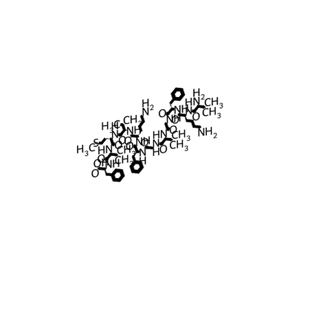 CSCC[C@H](NC(=O)[C@@H](NC(=O)[C@H](CCCCN)NC(=O)[C@H](Cc1ccccc1)NC(=O)CNC(=O)[C@@H](NC(=O)CNC(=O)[C@H](Cc1ccccc1)NC(=O)[C@H](CCCCN)NC(=O)[C@@H](N)C(C)C)C(C)C)C(C)C)C(=O)N[C@H](C(=O)N[C@@H](Cc1ccccc1)C(=O)O)C(C)C